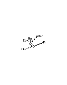 CC(C)CCCCCCOC(=O)CCCCCC(C)C.CCCCCCCCCCCCCCCC(=O)OCC(CC)CCCC